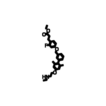 CCNCCOc1cc(C)c(-c2cccc(COc3ccc(CCC(=O)OCC)c(F)c3)c2)c(C)c1